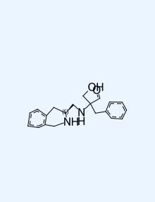 O=CC(CO)(Cc1ccccc1)NC[C@@H]1Cc2ccccc2CN1